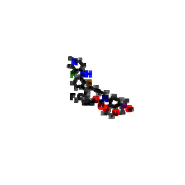 CN1CC[C@@H](Nc2cccc3c(CC(F)(F)F)c(C#CCN(C(=O)OC(C)(C)C)c4ccc(P(C)(C)=O)c5c4OCCO5)sc23)[C@@H](F)C1